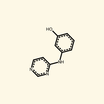 Oc1cccc(Nc2ccncn2)c1